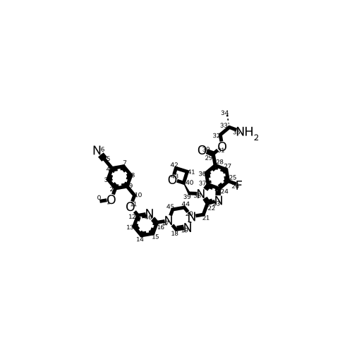 COc1cc(C#N)ccc1COc1cccc(N2C=NN(Cc3nc4c(F)cc(C(=O)OC[C@H](C)N)cc4n3C[C@@H]3CCO3)CC2)n1